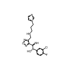 N=C(c1nonc1CNCCCn1ccnc1)N(O)c1ccc(F)c(Cl)c1